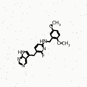 COc1ccc(OC)c(CNc2ccc(Cc3c[nH]c4ncncc34)c(F)n2)c1